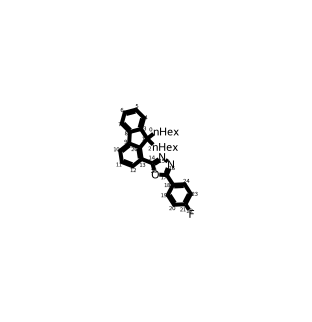 CCCCCCC1(CCCCCC)c2ccccc2-c2cccc(-c3nnc(-c4ccc(F)cc4)o3)c21